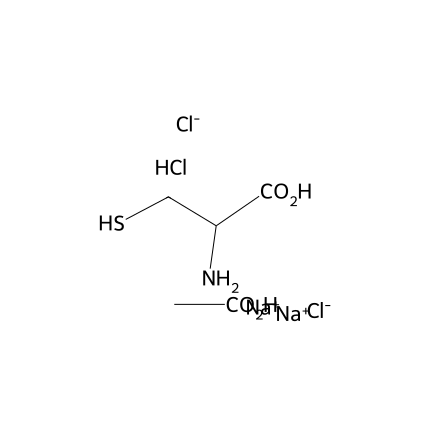 CC(=O)O.Cl.NC(CS)C(=O)O.[Cl-].[Cl-].[Na+].[Na+]